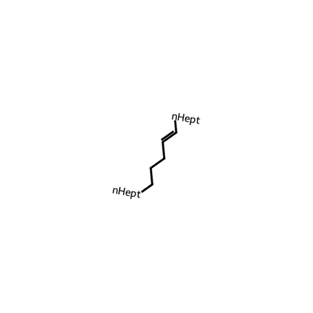 [CH2]CCCCCCC=CCCCCCCCCC[CH2]